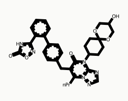 CCCc1c(Cc2ccc(-c3ccccc3-c3noc(=O)[nH]3)cc2)c(=O)n(C2CCC3(CC2)OCC(O)CO3)c2ncnn12